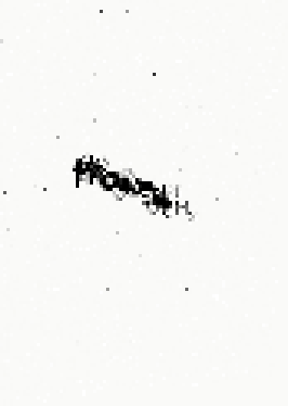 C=CC(=O)Nc1cc2c(s1)CN(S(=O)(=O)c1ccc(NC(=O)c3ccco3)cc1)C2